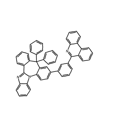 c1ccc(C2(c3ccccc3)c3ccccc3-c3nc4ccccc4n3-c3ccc(-c4cccc(-c5nc6ccccc6c6ccccc56)c4)cc32)cc1